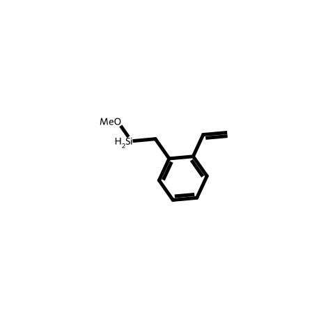 C=Cc1ccccc1C[SiH2]OC